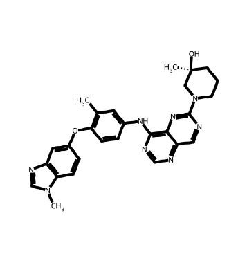 Cc1cc(Nc2ncnc3cnc(N4CCC[C@](C)(O)C4)nc23)ccc1Oc1ccc2c(c1)ncn2C